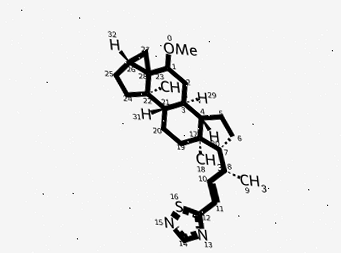 COC1C[C@H]2[C@@H]3CC[C@H]([C@H](C)/C=C/c4ncns4)[C@@]3(C)CC[C@@H]2[C@@]2(C)CC[C@@H]3CC132